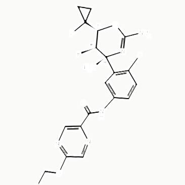 C[C@]1(c2cc(NC(=O)c3cnc(OCF)cn3)ccc2F)N=C(N)O[C@H](C2(F)CC2)[C@@H]1F